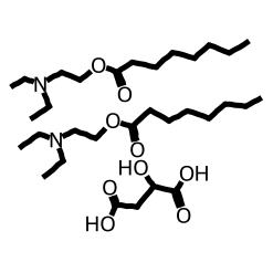 CCCCCCCC(=O)OCCN(CC)CC.CCCCCCCC(=O)OCCN(CC)CC.O=C(O)CC(O)C(=O)O